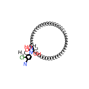 Cc1c(N2C(=O)N(C)C3(CCCCCCCCCCCCCCCCCCCCCCCCCCCCCCCCCCCCCCCCC3O)C2O)ccc(C#N)c1Cl